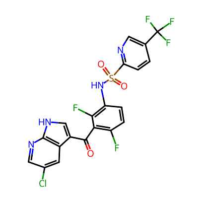 O=C(c1c(F)ccc(NS(=O)(=O)c2ccc(C(F)(F)F)cn2)c1F)c1c[nH]c2ncc(Cl)cc12